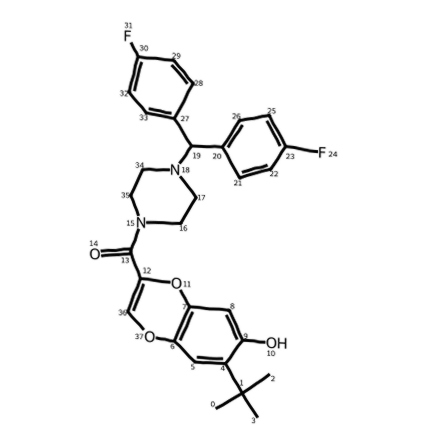 CC(C)(C)c1cc2c(cc1O)OC(C(=O)N1CCN(C(c3ccc(F)cc3)c3ccc(F)cc3)CC1)=CO2